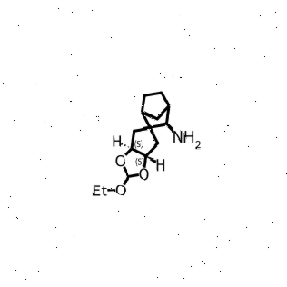 CCOC1O[C@H]2CC3(C[C@@H]2O1)C1CCC(C1)C3N